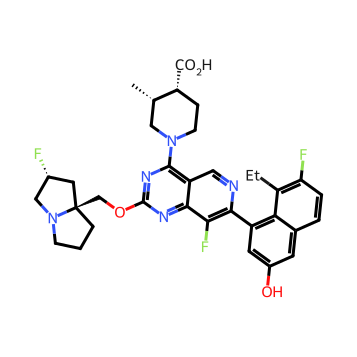 CCc1c(F)ccc2cc(O)cc(-c3ncc4c(N5CC[C@@H](C(=O)O)[C@@H](C)C5)nc(OC[C@@]56CCCN5C[C@H](F)C6)nc4c3F)c12